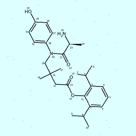 CC(C)c1cccc(C(C)C)c1OC(=O)CC(C)(C)CN(C(=O)[C@H](C)N)c1ccc(O)cc1